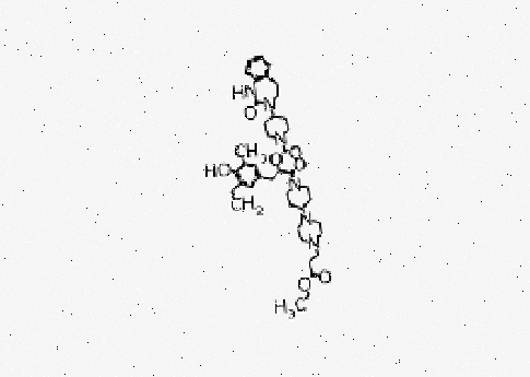 C=Cc1cc(C[C@@H](OC(=O)N2CCC(N3CCc4ccccc4NC3=O)CC2)C(=O)N2CCC(N3CCN(CCC(=O)OCC)CC3)CC2)cc(C)c1O